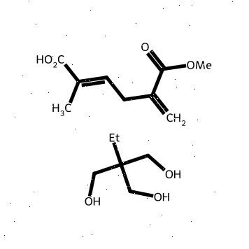 C=C(CC=C(C)C(=O)O)C(=O)OC.CCC(CO)(CO)CO